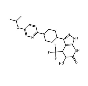 CC(C)Oc1ccc(N2CCC(c3n[nH]c4c3C(C(F)(F)F)C(O)C(=O)N4)CC2)nc1